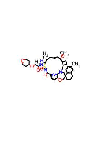 COC1/C=C/CC(C)C(C)S(=O)(NC(=O)COC2CCOCC2)=NC(=O)c2ccc3c(n2)N(CC2CCC21)CC1(CCCc2cc(C)ccc21)CO3